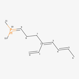 C=C/C(=C\C=C\C)CCC=[PH](C)C